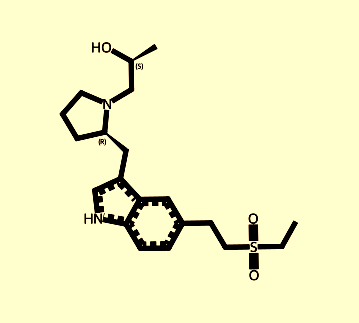 CCS(=O)(=O)CCc1ccc2[nH]cc(C[C@H]3CCCN3C[C@H](C)O)c2c1